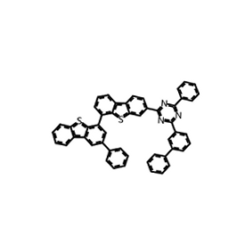 c1ccc(-c2cccc(-c3nc(-c4ccccc4)nc(-c4ccc5c(c4)sc4c(-c6cc(-c7ccccc7)cc7c6sc6ccccc67)cccc45)n3)c2)cc1